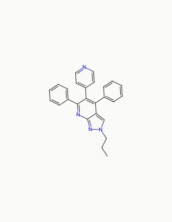 CCCn1cc2c(-c3ccccc3)c(-c3ccncc3)c(-c3ccccc3)nc2n1